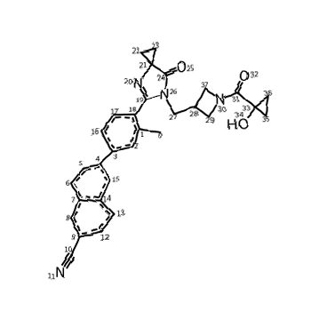 Cc1cc(-c2ccc3cc(C#N)ccc3c2)ccc1C1=NC2(CC2)C(=O)N1CC1CN(C(=O)C2(O)CC2)C1